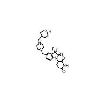 O=C1CCC(N2C(=O)C(F)(F)c3cc(CN4CCN(CC5CCNCC5)CC4)ccc32)C(=O)N1